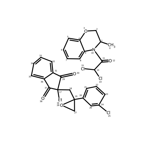 CC1COc2ccccc2N1C(=O)C(Cl)Cl.CCC1(CC2(c3cccc(Cl)c3)CO2)C(=O)c2ccccc2C1=O